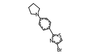 Brc1csc(-c2ccc(N3CCCC3)cc2)n1